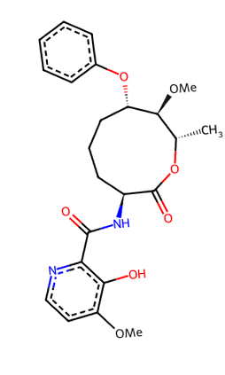 COc1ccnc(C(=O)N[C@H]2CCC[C@H](Oc3ccccc3)[C@@H](OC)[C@H](C)OC2=O)c1O